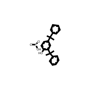 CC(C)(c1ccccc1)c1ccc(O)c(C(C)(C)c2ccccc2)c1.OP(Cl)Cl